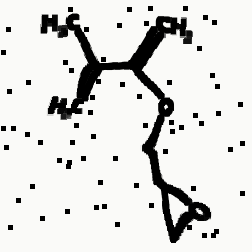 C=C(C)C(=C)OCC1CO1